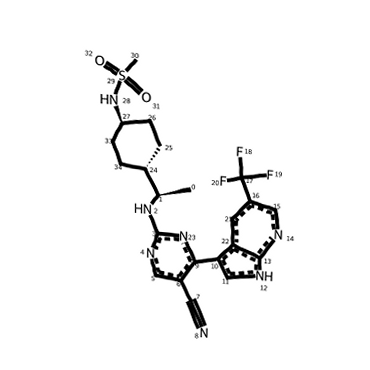 C[C@@H](Nc1ncc(C#N)c(-c2c[nH]c3ncc(C(F)(F)F)cc23)n1)[C@H]1CC[C@H](NS(C)(=O)=O)CC1